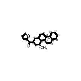 CC1CC(C(=O)c2ccco2)Cc2ccc3c(ccc4ccccc43)c21